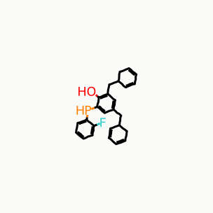 Oc1c(CC2C=CC=CC2)cc(CC2C=CC=CC2)cc1Pc1ccccc1F